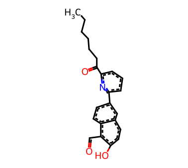 CCCCCCC(=O)c1cccc(-c2ccc3c(C=O)c(O)ccc3c2)n1